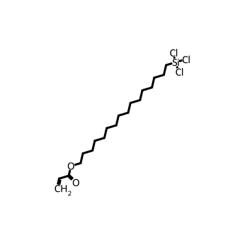 C=CC(=O)OCCCCCCCCCCCCCCCC[Si](Cl)(Cl)Cl